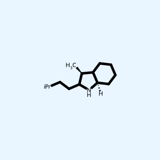 CC(C)CCC1N[C@@H]2CCCCC2[C@@H]1C